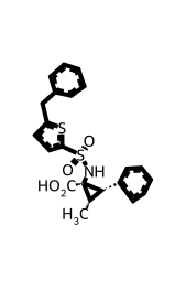 C[C@H]1[C@@H](c2ccccc2)[C@@]1(NS(=O)(=O)c1ccc(Cc2ccccc2)s1)C(=O)O